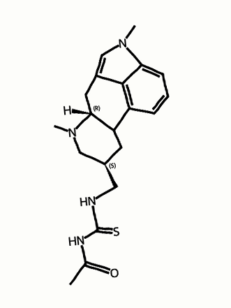 CC(=O)NC(=S)NC[C@@H]1CC2c3cccc4c3c(cn4C)C[C@H]2N(C)C1